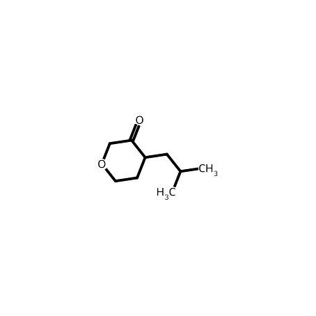 CC(C)CC1CCOCC1=O